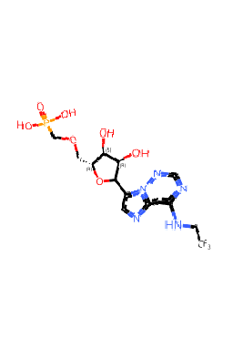 O=P(O)(O)COC[C@H]1OC(c2cnc3c(NCC(F)(F)F)ncnn23)[C@H](O)[C@@H]1O